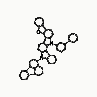 c1ccc(-c2cccc(-n3c4ccc5c6ccccc6oc5c4c4ccc5c(c6ccccc6n5-c5ccc6c7c(cccc57)-c5ccccc5-6)c43)c2)cc1